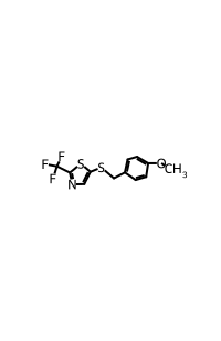 COc1ccc(CSc2cnc(C(F)(F)F)s2)cc1